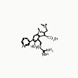 CCOC(=O)C1c2c(cc(-c3cccnc3)c(O)c2CNC(=N)N)N(C)C1CN(C)C